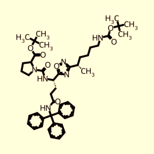 C[C@@H](CCCCNC(=O)OC(C)(C)C)c1noc([C@H](CCC(=O)NC(c2ccccc2)(c2ccccc2)c2ccccc2)NC(=O)N2CCCC2C(=O)OC(C)(C)C)n1